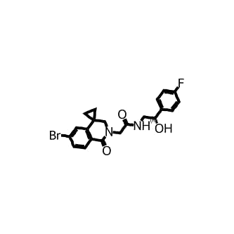 O=C(CN1CC2(CC2)c2cc(Br)ccc2C1=O)NC[C@H](O)c1ccc(F)cc1